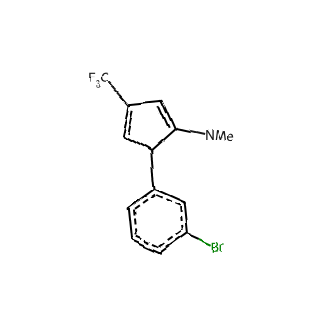 CNC1=CC(C(F)(F)F)=CC1c1cccc(Br)c1